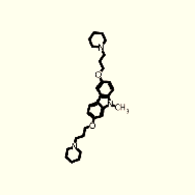 Cn1c2ccc(OCCCN3CCCCC3)cc2c2ccc(OCCCN3CCCCC3)cc21